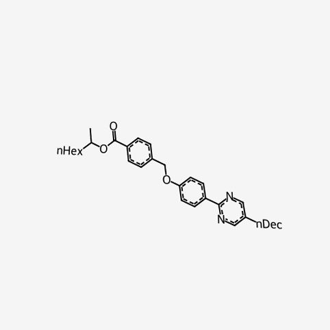 CCCCCCCCCCc1cnc(-c2ccc(OCc3ccc(C(=O)OC(C)CCCCCC)cc3)cc2)nc1